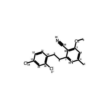 COc1cc(C)nc(CCc2ccc(Cl)cc2Cl)c1C#N